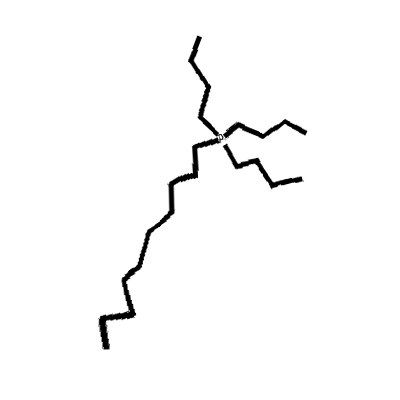 CCCCCCCCCC[P](CCCC)(CCCC)CCCC